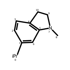 CC(C)c1ccc2c(c1)N(C)CC2